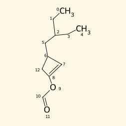 CCC(CC)CC1C=C(OC=O)C1